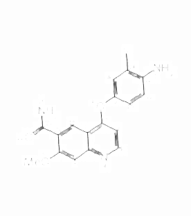 COc1cc2nccc(Oc3ccc(N)c(C)c3)c2cc1C(N)=O